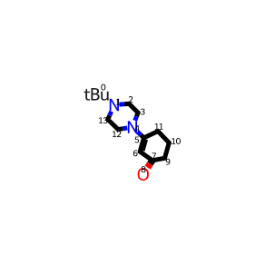 CC(C)(C)N1CCN(C2=CC(=O)CCC2)CC1